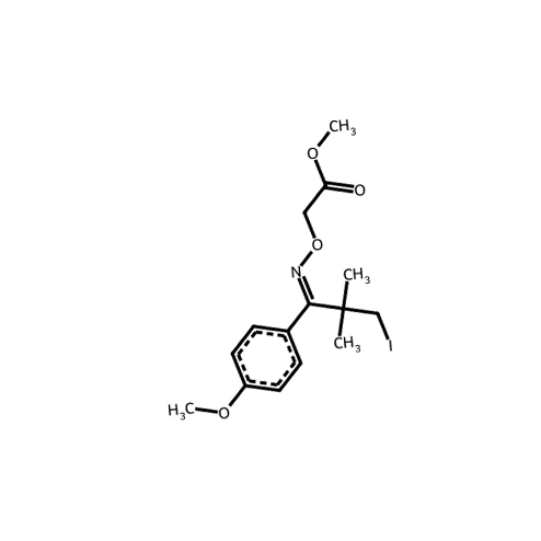 COC(=O)CON=C(c1ccc(OC)cc1)C(C)(C)CI